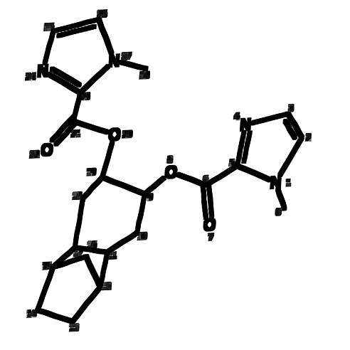 Cn1ccnc1C(=O)OC1CC2C3CCC(C3)C2CC1OC(=O)c1nccn1C